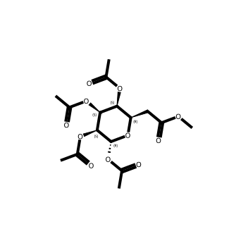 COC(=O)C[C@H]1O[C@H](OC(C)=O)[C@@H](OC(C)=O)[C@@H](OC(C)=O)[C@H]1OC(C)=O